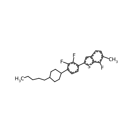 CCCCCC1CCC(c2ccc(-c3cc4ccc(C)c(F)c4s3)c(F)c2F)CC1